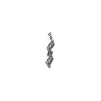 Cc1ccc(Oc2c(F)c(F)c(-c3c(F)c(F)c(Oc4ccc(C(c5ccc(Oc6c(F)c(F)c(-c7c(F)c(F)c(Oc8ccc(-c9ccc(-c%10cc(C)cc(C)c%10)cc9C)cc8)c(F)c7F)c(F)c6F)cc5)(C(F)(F)F)C(F)(F)F)cc4)c(F)c3F)c(F)c2F)cc1